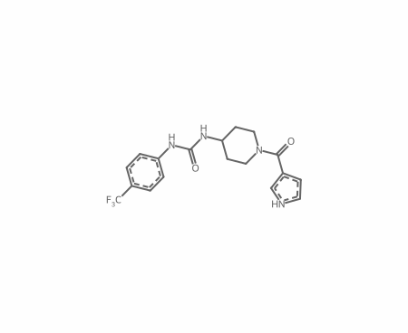 O=C(Nc1ccc(C(F)(F)F)cc1)NC1CCN(C(=O)c2cc[nH]c2)CC1